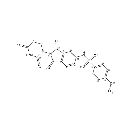 O=C1CCC(N2C(=O)c3ccc(NS(=O)(=O)c4ccc(OC(F)(F)F)cc4)cc3C2=O)C(=O)N1